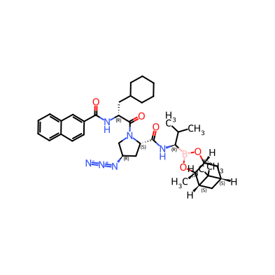 CC(C)[C@H](NC(=O)[C@@H]1C[C@@H](N=[N+]=[N-])CN1C(=O)[C@@H](CC1CCCCC1)NC(=O)c1ccc2ccccc2c1)B1O[C@@H]2C[C@@H]3C[C@@H](C3(C)C)[C@]2(C)O1